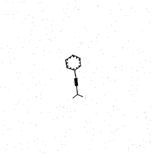 CCCCC(C#Cc1ccccc1)CCC